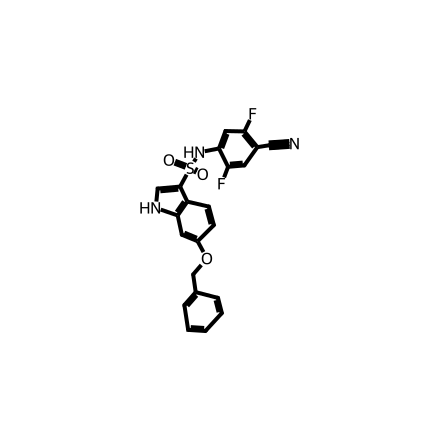 N#Cc1cc(F)c(NS(=O)(=O)c2c[nH]c3cc(OCc4ccccc4)ccc23)cc1F